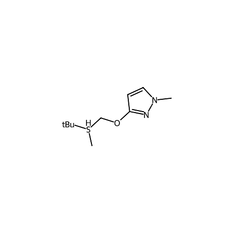 Cn1ccc(OC[SH](C)C(C)(C)C)n1